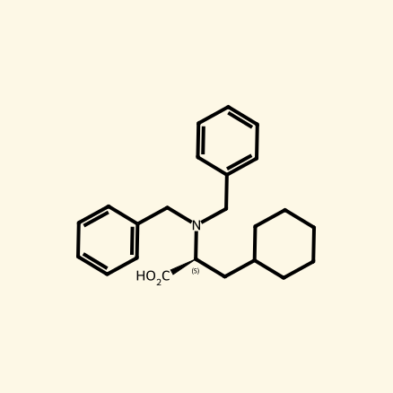 O=C(O)[C@H](CC1CCCCC1)N(Cc1ccccc1)Cc1ccccc1